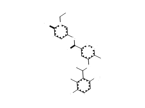 CCn1cc(NC(=O)c2cc(OC(C)c3c(O)ccc(F)c3C)c(C)nn2)ccc1=O